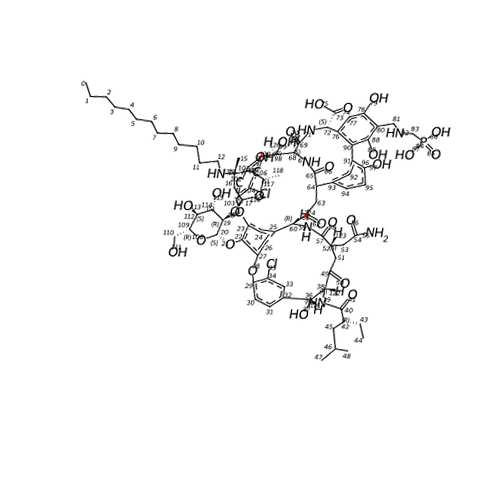 CCCCCCCCCCCCCN[C@@]1(C)C[C@H](O[C@H]2[C@H](Oc3c4cc5cc3Oc3ccc(cc3Cl)[C@@H](O)[C@@H](NC(=O)[C@H](CC)CC(C)C)C(=O)C[C@@H](CC(N)=O)C(=O)N[C@H]5C(=O)CC3C(=O)N[C@H](C(=O)N[C@H](C(=O)O)c5cc(O)c(CNCP(=O)(O)O)c(O)c5-c5cc3ccc5O)[C@H](O)c3ccc(c(Cl)c3)O4)O[C@H](CO)[C@@H](O)[C@@H]2O)O[C@@H](C)[C@H]1O